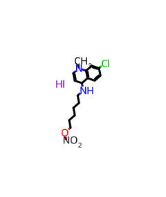 CN1C=CC(NCCCCCCO[N+](=O)[O-])c2ccc(Cl)cc21.I